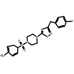 CC(C)(C)C1=CCC(S(=O)(=O)N2CCN(c3nc(Cc4ccc(F)cc4)ns3)CC2)C=C1